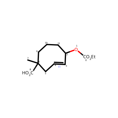 CCOC(=O)OC1/C=C/CC(C)(C(=O)O)CCC1